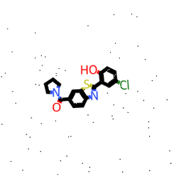 O=C(c1ccc2nc(-c3cc(Cl)ccc3O)sc2c1)N1CCCC1